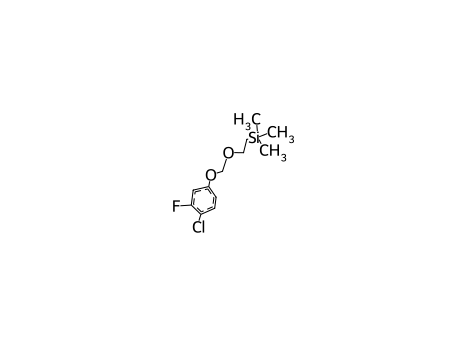 C[Si](C)(C)CCOCOc1ccc(Cl)c(F)c1